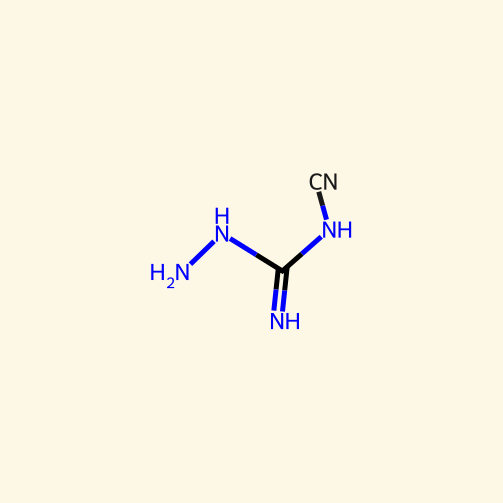 N#CNC(=N)NN